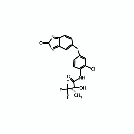 C[C@@](O)(C(=O)Nc1ccc(Sc2ccc3c(c2)=NC(=O)N=3)cc1Cl)C(F)(F)F